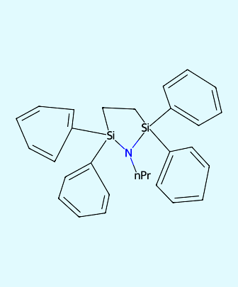 [CH2]CCN1[Si](c2ccccc2)(c2ccccc2)CC[Si]1(c1ccccc1)c1ccccc1